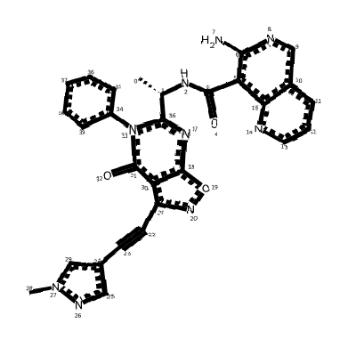 C[C@H](NC(=O)c1c(N)ncc2cccnc12)c1nc2onc(C#Cc3cnn(C)c3)c2c(=O)n1-c1ccccc1